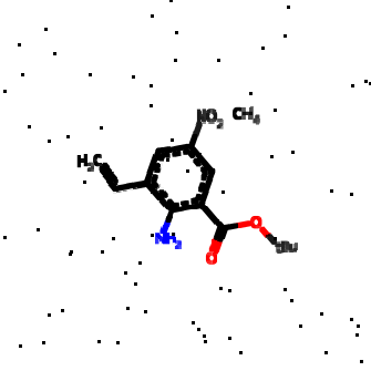 C.C=Cc1cc([N+](=O)[O-])cc(C(=O)OC(C)(C)C)c1N